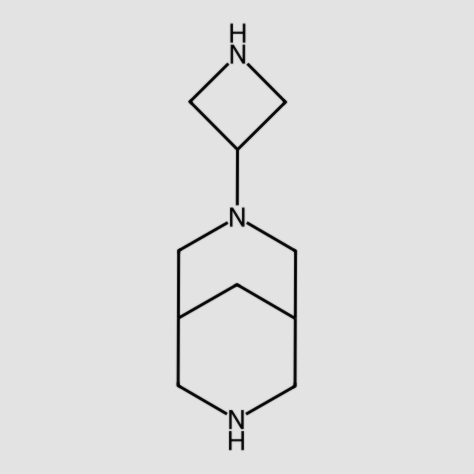 C1NCC2CC1CN(C1CNC1)C2